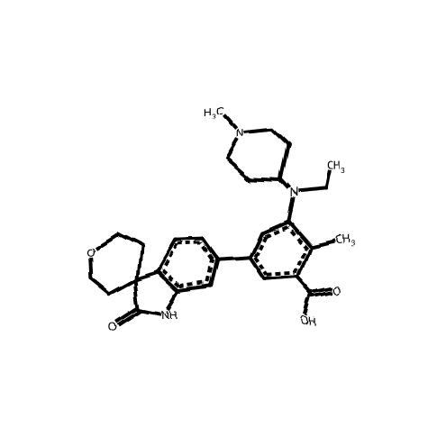 CCN(c1cc(-c2ccc3c(c2)NC(=O)C32CCOCC2)cc(C(=O)O)c1C)C1CCN(C)CC1